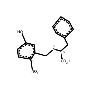 O=C(O)[C@H](Cc1ccccc1)NCc1cc(O)ccc1[N+](=O)[O-]